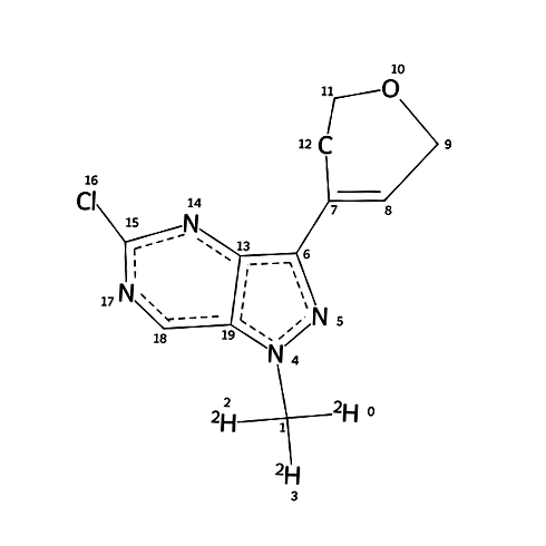 [2H]C([2H])([2H])n1nc(C2=CCOCC2)c2nc(Cl)ncc21